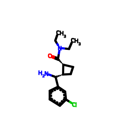 CCN(CC)C(=O)[C@@H]1CC[C@@H]1C(N)c1cccc(Cl)c1